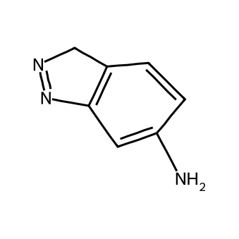 Nc1ccc2c(c1)N=NC2